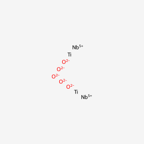 [Nb+5].[Nb+5].[O-2].[O-2].[O-2].[O-2].[O-2].[Ti].[Ti]